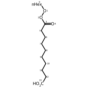 CCCCCCOOC(=O)CCCCCCCCC(=O)O